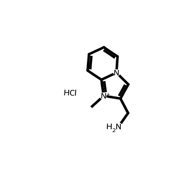 C[n+]1c(CN)cn2ccccc21.Cl